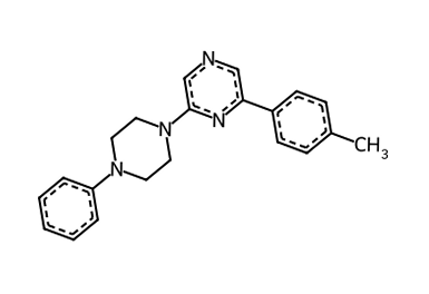 Cc1ccc(-c2cncc(N3CCN(c4ccccc4)CC3)n2)cc1